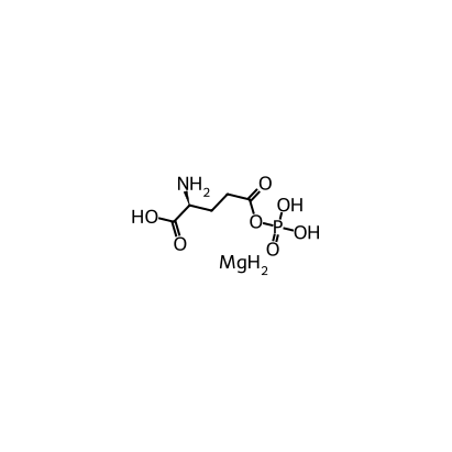 N[C@@H](CCC(=O)OP(=O)(O)O)C(=O)O.[MgH2]